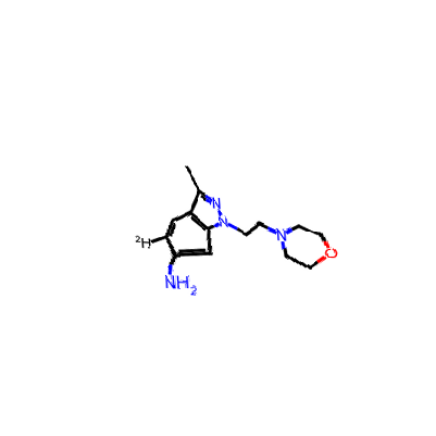 [2H]c1cc2c(C)nn(CCN3CCOCC3)c2cc1N